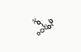 CN(c1ccc(CN(C(=O)/C=C/c2ccc(C(F)(F)F)cc2)C2CCN(C3CCCC3)CC2)cc1)c1cccnc1